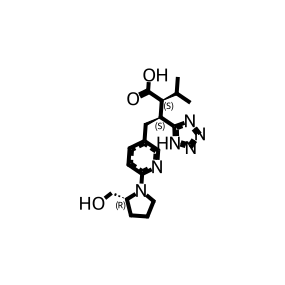 CC(C)[C@H](C(=O)O)[C@H](Cc1ccc(N2CCC[C@@H]2CO)nc1)c1nnn[nH]1